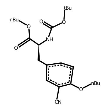 CCCCOC(=O)[C@H](Cc1ccc(OCCCC)c(C#N)c1)NC(=O)OC(C)(C)C